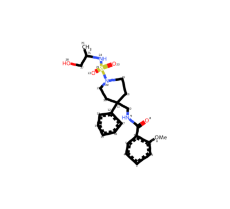 COc1ccccc1C(=O)NCC1(c2ccccc2)CCN(S(=O)(=O)NC(C)CO)CC1